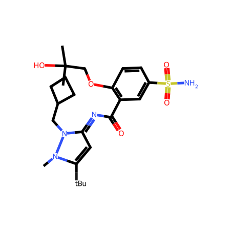 Cn1c(C(C)(C)C)cc(=NC(=O)c2cc(S(N)(=O)=O)ccc2OCC(C)(C)O)n1CC1CCC1